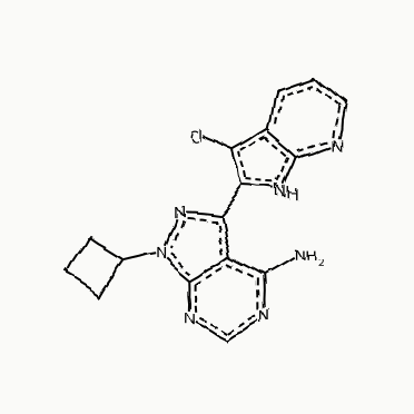 Nc1ncnc2c1c(-c1[nH]c3ncccc3c1Cl)nn2C1CCC1